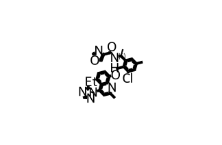 CCc1ncnn1-c1cc(C)nc2c(OCc3c(Cl)cc(C)cc3[C@H](C)NC(=O)c3cocn3)cccc12